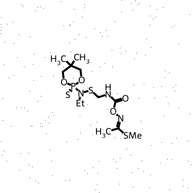 CCN(SCNC(=O)O/N=C(\C)SC)P1(=S)OCC(C)(C)CO1